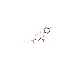 COC(=O)C1CCN(S(=O)(=O)c2ccc(C)cc2)C(C(=O)O)C1